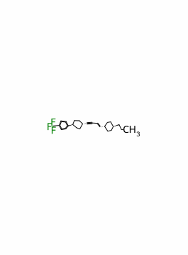 CCC[C@H]1CC[C@H](C=CC#C[C@H]2CC[C@H](c3ccc(C(F)(F)F)cc3)CC2)CC1